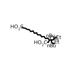 CCCCC(CC)CC(C)(CC(CC)CCCC)C(CCCCCCCCCCCCCCC(=O)O)CC(=O)O